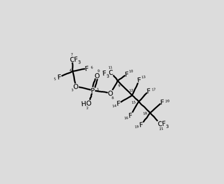 O=P(O)(OC(F)(F)C(F)(F)F)OC(F)(C(F)(F)F)C(F)(F)C(F)(F)C(F)(F)C(F)(F)F